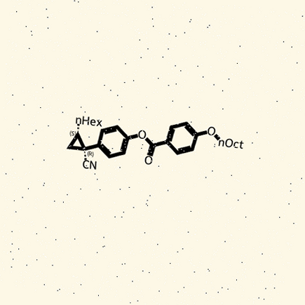 CCCCCCCCOc1ccc(C(=O)Oc2ccc([C@@]3(C#N)C[C@@H]3CCCCCC)cc2)cc1